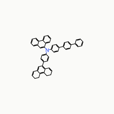 C1=Cc2cc(-c3ccc(N(c4ccc(-c5ccc(-c6ccccc6)cc5)cc4)c4cc5ccccc5c5ccccc45)cc3)c3c(c2CC1)CCC=C3